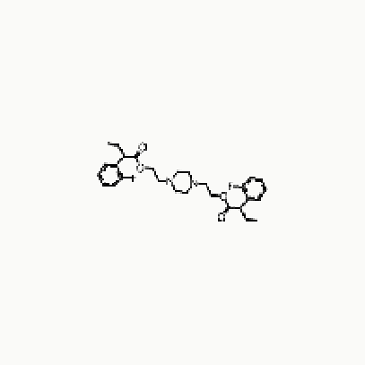 CCC(C(=O)OCCN1CCN(CCOC(=O)C(CC)c2ccccc2F)CC1)c1ccccc1F